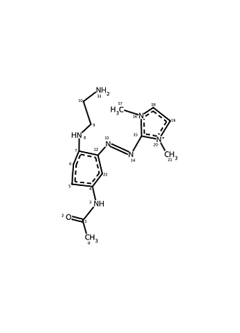 CC(=O)Nc1ccc(NCCN)c(/N=N/c2n(C)cc[n+]2C)c1